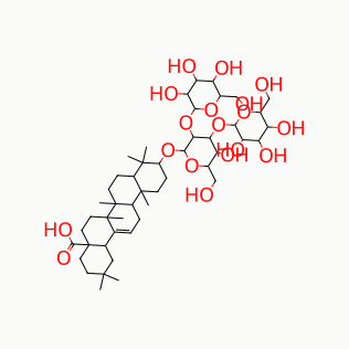 CC1(C)CCC2(C(=O)O)CCC3(C)C(=CCC4C5(C)CCC(OC6OC(CO)C(O)C(OC7OC(CO)C(O)C(O)C7O)C6OC6OC(CO)C(O)C(O)C6O)C(C)(C)C5CCC43C)C2C1